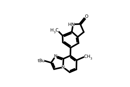 Cc1cc(-c2c(C)ccn3cc(C(C)(C)C)nc23)cc2c1NC(=O)C2